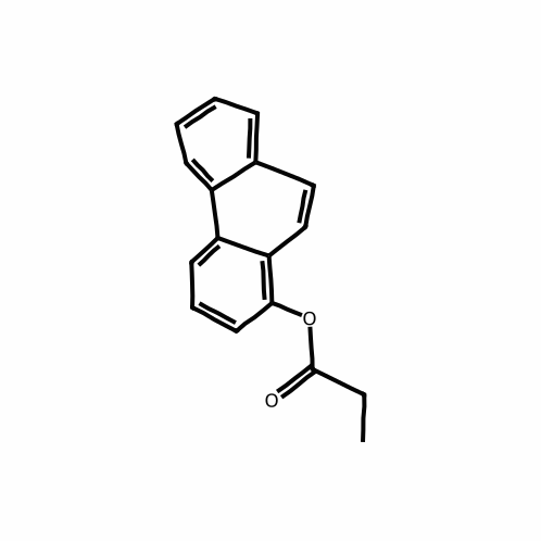 CCC(=O)Oc1cccc2c1ccc1ccccc12